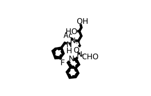 CC(=O)N(NCc1cccc(F)c1)[C@H](CON(C=O)c1cc2ccccc2cn1)CC(O)CO